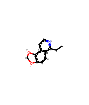 CCc1nccc2c3c(ccc12)OCO3